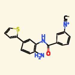 [C-]#[N+]c1cccc(C(=O)Nc2cc(-c3cccs3)ccc2N)c1